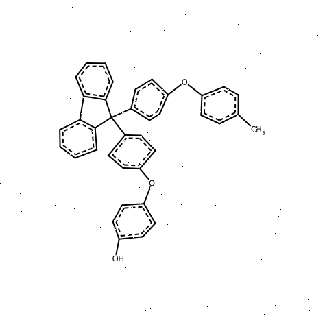 Cc1ccc(Oc2ccc(C3(c4ccc(Oc5ccc(O)cc5)cc4)c4ccccc4-c4ccccc43)cc2)cc1